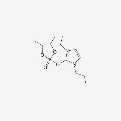 CCCN1C=CN(CC)C1OP(=O)(OCC)OCC